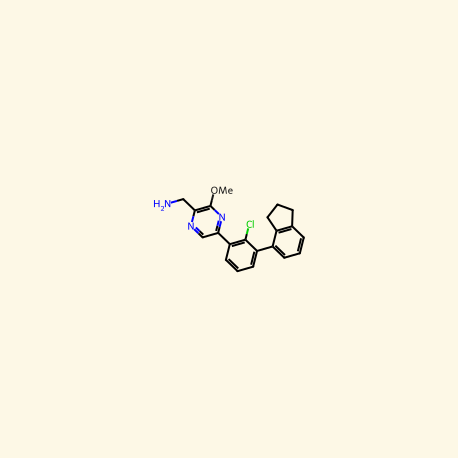 COc1nc(-c2cccc(-c3cccc4c3CCC4)c2Cl)cnc1CN